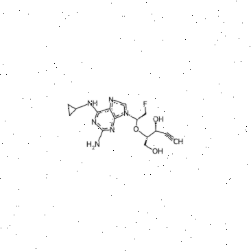 C#C[C@H](O)[C@@H](CO)O[C@H](CF)n1cnc2c(NC3CC3)nc(N)nc21